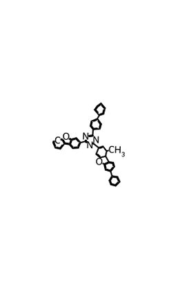 CC1C=C(c2nc(-c3ccc(-c4ccccc4)cc3)nc(-c3ccc4c(c3)oc3ccccc34)n2)C=C2Oc3cc(-c4ccccc4)ccc3C21